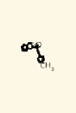 Cc1ccc(C#CC(=O)N2CCc3ccccc3C2)cc1